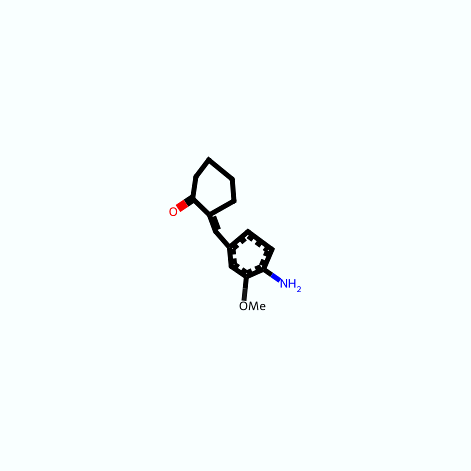 COc1cc(C=C2CCCCC2=O)ccc1N